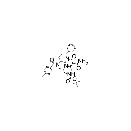 Cc1ccc(C(=O)N(CCCNC(=O)OC(C)(C)C)C(c2nc(C)c(C(N)=O)c(=O)n2Cc2ccccc2)C(C)C)cc1